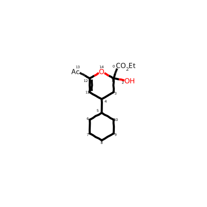 CCOC(=O)C1(O)CC(C2CCCCC2)C=C(C(C)=O)O1